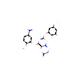 CCOc1ccc(C(=N)N)cc1OC1=C2NC(=O)CN=C2NC(Oc2cc(Cl)cc(OC)c2)=N1